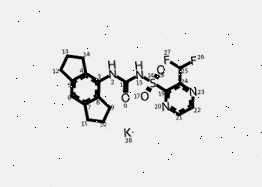 O=C(Nc1c2c(cc3c1CCC3)CCC2)NS(=O)(=O)c1nccnc1C(F)F.[K]